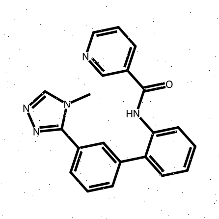 Cn1cnnc1-c1cccc(-c2ccccc2NC(=O)c2cccnc2)c1